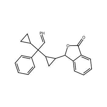 O=C1OC(C2CC2C(C=P)(c2ccccc2)C2CC2)c2ccccc21